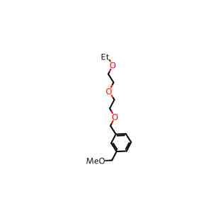 CCOCCOCCOCc1cccc(COC)c1